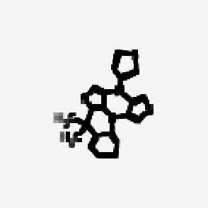 CC1(C)c2ccccc2B2c3cscc3N(c3ccsc3)c3csc1c32